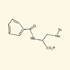 CCNCC(NC(=O)c1ccccc1)C(=O)O